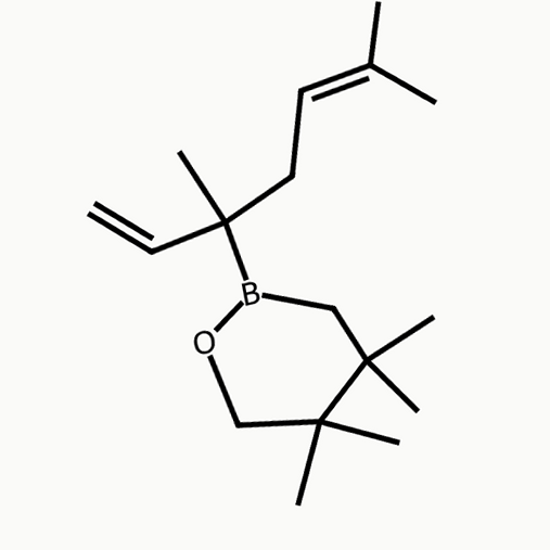 C=CC(C)(C/C=C(\C)O)B1CC(C)(C)C(C)(C)CO1